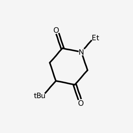 CCN1CC(=O)C(C(C)(C)C)CC1=O